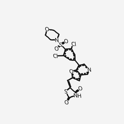 O=C1NC(=O)/C(=C\c2cc3cncc(-c4cc(Cl)c(S(=O)(=O)N5CCOCC5)c(Cl)c4)c3o2)S1